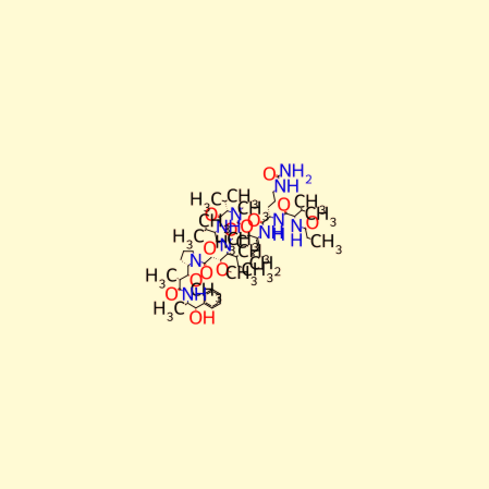 C=C/C=C(/NC(=O)[C@H](CCCNC(N)=O)NC(=O)[C@@H](NC(=O)CC)C(C)C)C(C)OC(=O)N(C)[C@H](C(=O)N[C@H](C(=O)N(C)[C@@H]([C@@H](C)CC)[C@@H](CC(=O)N1CCC[C@H]1[C@H](OC)[C@@H](C)C(=O)N[C@H](C)[C@@H](O)c1ccccc1)OC)C(C)C)C(C)C